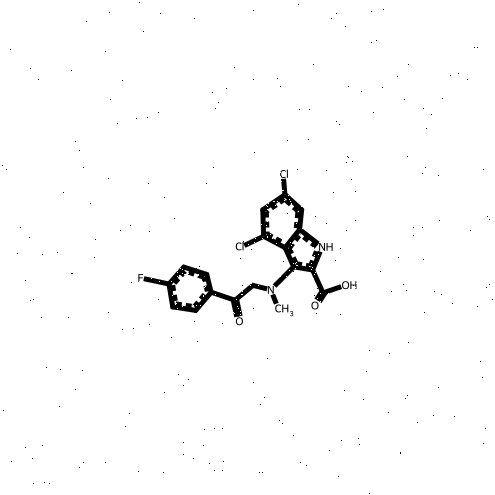 CN(CC(=O)c1ccc(F)cc1)c1c(C(=O)O)[nH]c2cc(Cl)cc(Cl)c12